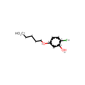 O=C(O)CCCCOc1ccc(F)c(O)c1